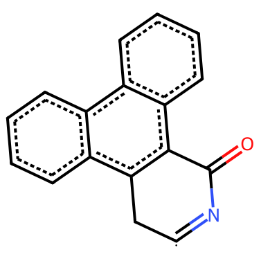 O=C1N=[C]Cc2c1c1ccccc1c1ccccc21